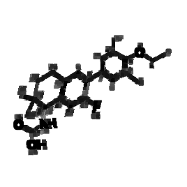 CCOc1c(C)cc(-c2cc3c(cc2F)[C@H](NC(=O)O)C(C)(C)CC3)cc1C